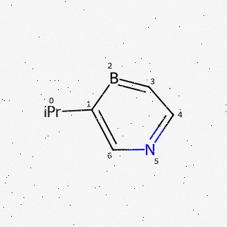 CC(C)c1bccnc1